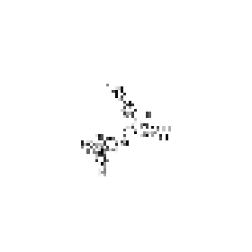 CCn1cc(-c2cnc(N(C(O)NCC(O)(O)O)[C@H]3CC[C@H](Nc4ncc(C(O)(O)O)c(-c5n[nH]cc5Cl)n4)CC3)cn2)cn1